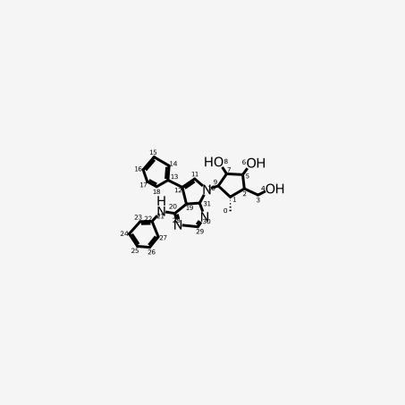 C[C@H]1C(CO)C(O)C(O)C1N1C=C(c2ccccc2)C2C(Nc3ccccc3)=NC=NC21